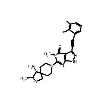 C[C@@H]1OCC2(CCN(c3nc4[nH]nc(C#Cc5cccc(F)c5F)c4c(=O)n3C)CC2)[C@@H]1N